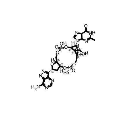 CC1=NC2C(N=CN2[C@@H]2O[C@@H]3CO[P@](=O)(S)O[C@H]4C[C@H](c5snc6c(N)ncnc56)O[C@@H]4COP(=O)(O)O[C@@H]2[C@@H]3CO)C(=O)N1